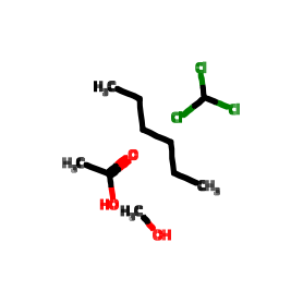 CC(=O)O.CCCCCC.CO.ClC(Cl)Cl